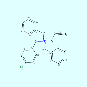 C=CC[N+](Cc1ccccc1)(Cc1ccccc1)Cc1ccccc1.[Cl-]